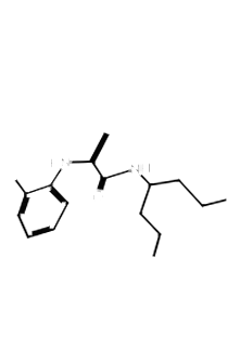 C=C(Nc1ccccc1C)C(=O)NC(CCC)CCC